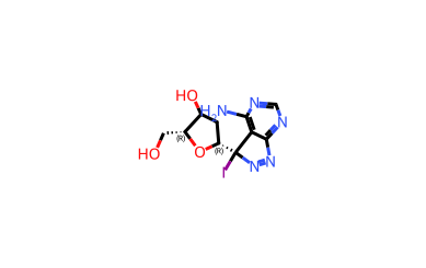 Nc1ncnc2c1C(I)([C@H]1CC(O)[C@@H](CO)O1)N=N2